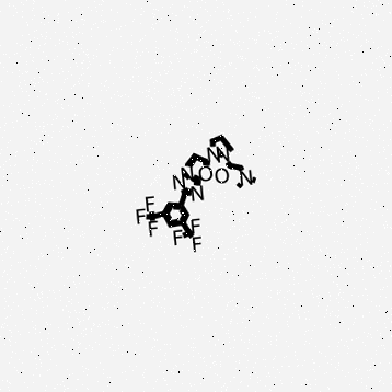 CN(C)CC(=O)N1CCCN1C(=O)/C=C\n1cnc(-c2cc(C(F)(F)F)cc(C(F)(F)F)c2)n1